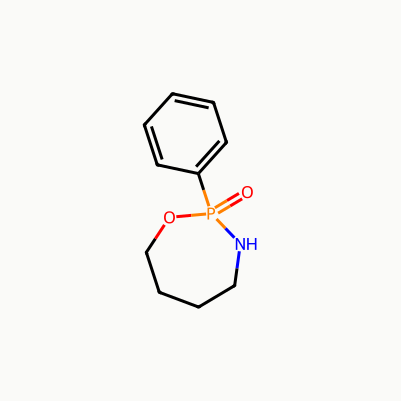 O=P1(c2ccccc2)NCCCCO1